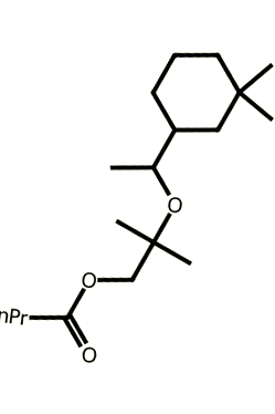 CCCC(=O)OCC(C)(C)OC(C)C1CCCC(C)(C)C1